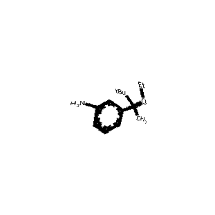 CCOC(C)(c1cccc(N)c1)C(C)(C)C